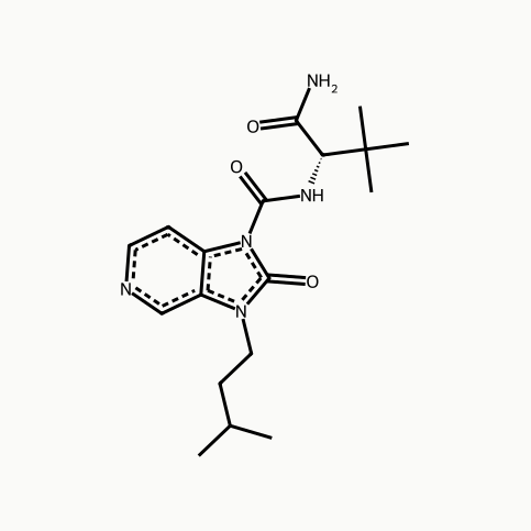 CC(C)CCn1c(=O)n(C(=O)N[C@H](C(N)=O)C(C)(C)C)c2ccncc21